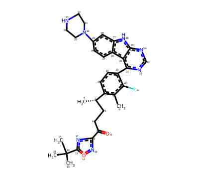 Cc1c([C@@H](C)CCC(=O)c2noc(C(C)(C)C)n2)ccc(-c2ncnc3[nH]c4cc(N5CCNCC5)ccc4c23)c1F